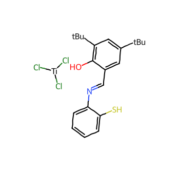 CC(C)(C)c1cc(C=Nc2ccccc2S)c(O)c(C(C)(C)C)c1.[Cl][Ti]([Cl])[Cl]